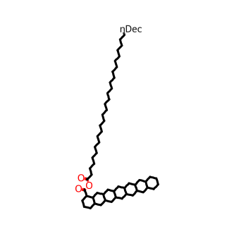 CCCCCCCCCCCCCCCCCCCCCCCCCCCCCCCCCCCCCC(=O)OC(=O)C1CCCC2CC3CC4CC5CC6CC7CCCCC7CC6CC5CC4CC3CC21